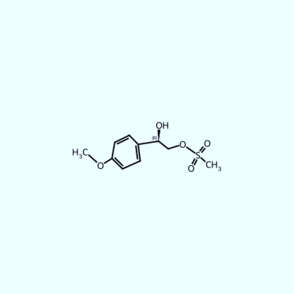 COc1ccc([C@@H](O)COS(C)(=O)=O)cc1